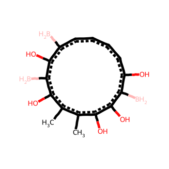 Bc1ccccc(O)c(B)c(O)c(O)c(C)c(C)c(O)c(B)c1O